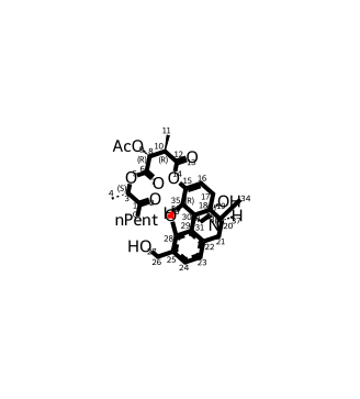 CCCCCC(=O)[C@H](C)OC(=O)[C@H](OC(C)=O)[C@@H](C)C(=O)OC1=CC[C@@]2(O)[C@H]3Cc4ccc(CO)c5c4[C@@]2(CCN3C)[C@H]1O5